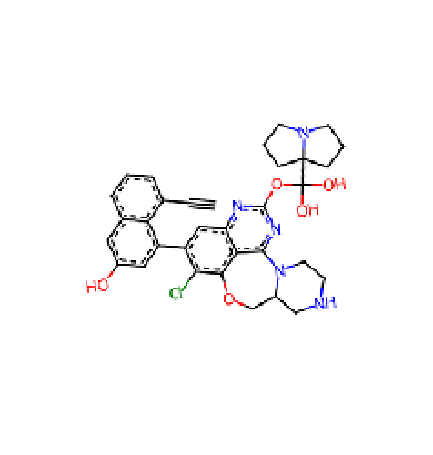 C#Cc1cccc2cc(O)cc(-c3cc4nc(OC(O)(O)C56CCCN5CCC6)nc5c4c(c3Cl)OCC3CNCCN53)c12